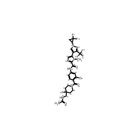 Cn1c(-c2cn(C3CC3(F)F)nc2C(F)(F)F)cnc1C(=O)Nc1ccc(C(=O)N2CCC(F)(CNC(N)=O)CC2)c(Cl)c1